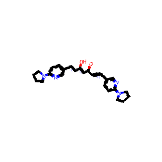 O=C(/C=C(O)/C=C/c1ccc(N2CCCC2)nc1)/C=C/c1ccc(N2CCCC2)nc1